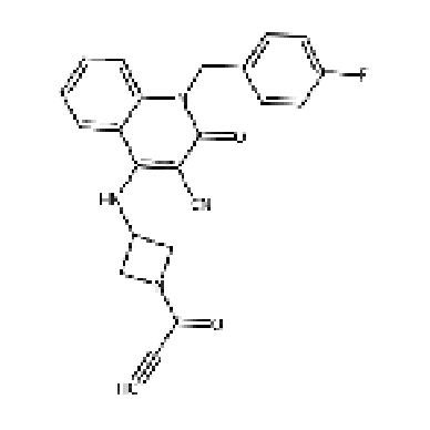 C#CC(=O)N1CC(Nc2c(C#N)c(=O)n(Cc3ccc(F)cc3)c3ccccc23)C1